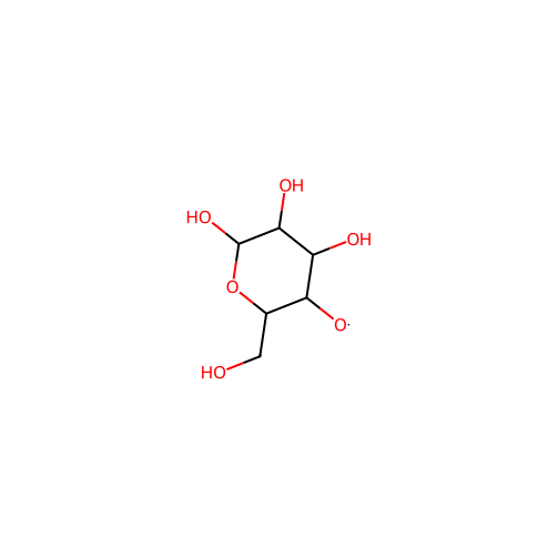 [O]C1C(CO)OC(O)C(O)C1O